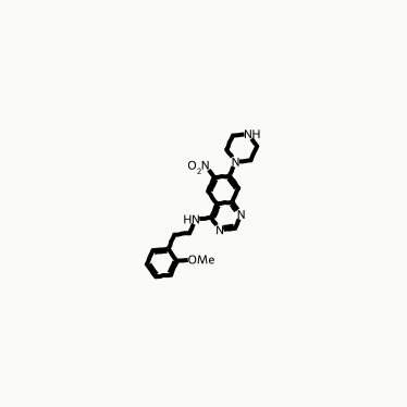 COc1ccccc1CCNc1ncnc2cc(N3CCNCC3)c([N+](=O)[O-])cc12